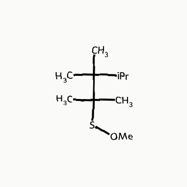 COSC(C)(C)C(C)(C)C(C)C